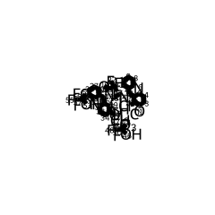 COc1ccc2nc3ccccc3c(NCCN(C(=O)C(F)(F)F)c3c4ccccc4nc4ccc(OC)c(Cl)c34)c2c1Cl.O=C(O)C(F)(F)F.O=C(O)C(F)(F)F